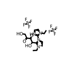 CC[n+]1cc[nH]c1-n1cc[n+](CC)c1C(O)C(=O)C(=O)CO.F[B-](F)(F)F.F[B-](F)(F)F